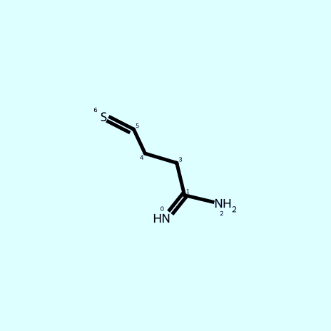 N=C(N)CCC=S